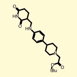 CC(C)(C)OC(=O)CN1CCC(c2ccc(NCC3CCC(=O)NC3=O)cc2)CC1